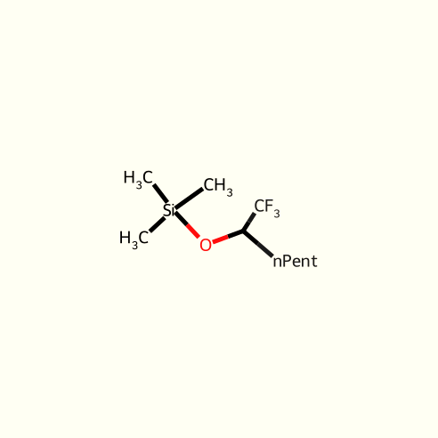 CCCCCC(O[Si](C)(C)C)C(F)(F)F